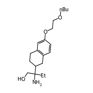 CCCCOCCOc1ccc2c(c1)CCC(C(N)(CC)CO)C2